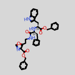 O=C(OCc1ccccc1)c1ncoc1CCNC(=O)[C@H](Cc1ccccc1)N[C@@H](Cc1c[nH]c2ccccc12)C(=O)OCc1ccccc1